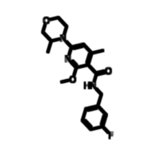 COc1nc(N2CCOCC2C)cc(C)c1C(=O)NCc1cccc(F)c1